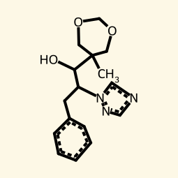 CC1(C(O)C(Cc2ccccc2)n2cncn2)COCOC1